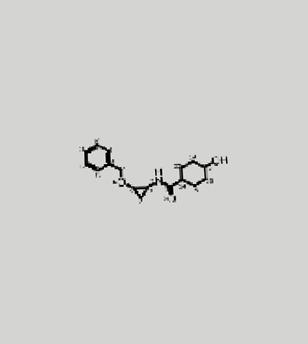 O=C(NC1CC1OCc1ccccc1)C1CCC(O)CC1